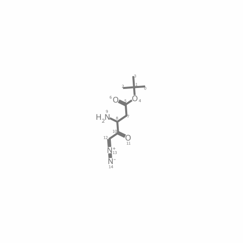 CC(C)(C)OC(=O)CC(N)C(=O)C=[N+]=[N-]